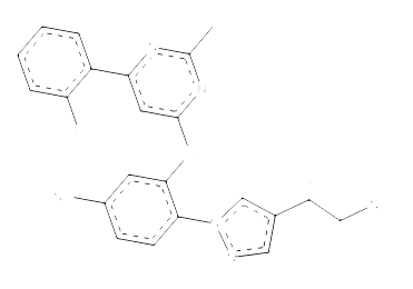 Cc1nc(Oc2cc(C#N)ccc2-n2cc([C@H](O)CN)cn2)cc(-c2ccccc2C(F)(F)F)n1